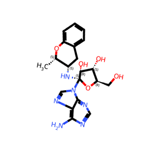 C[C@@H]1Oc2ccccc2C[C@@H]1N[C@@]1(n2cnc3c(N)ncnc32)O[C@H](CO)[C@@H](O)[C@H]1O